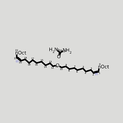 CCCCCCCC/C=C\CCCCCCCCOCCCCCCCC/C=C\CCCCCCCC.NC(N)=O